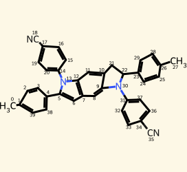 Cc1ccc(-c2cc3cc4c(cc3n2-c2ccc(C#N)cc2)CC(c2ccc(C)cc2)N4c2ccc(C#N)cc2)cc1